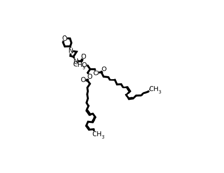 CC/C=C\C/C=C\C/C=C\CCCCCCCC(=O)OCC(COC(=O)CCCCCCC/C=C\C/C=C\CCCCC)COC(=O)N(C)C1CN(C2CCOCC2)C1